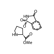 COC(=O)[C@@H]1CCCN1.O=C1NS(=O)(=O)c2ccccc21